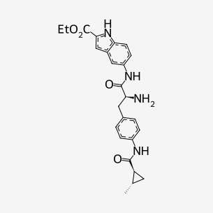 CCOC(=O)c1cc2cc(NC(=O)[C@@H](N)Cc3ccc(NC(=O)[C@H]4C[C@@H]4C)cc3)ccc2[nH]1